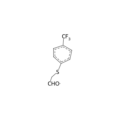 O=[C]CSc1ccc(C(F)(F)F)cc1